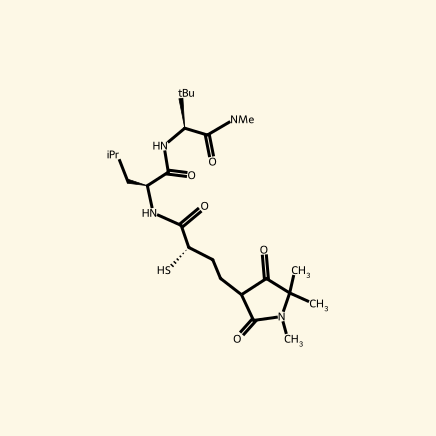 CNC(=O)[C@@H](NC(=O)[C@H](CC(C)C)NC(=O)[C@@H](S)CCC1C(=O)N(C)C(C)(C)C1=O)C(C)(C)C